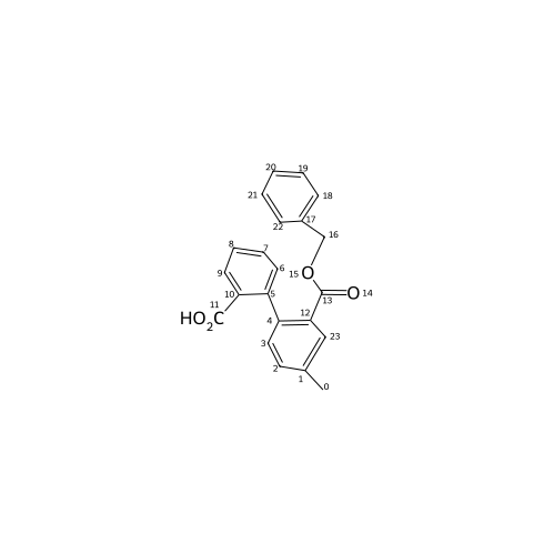 Cc1ccc(-c2ccccc2C(=O)O)c(C(=O)OCc2ccccc2)c1